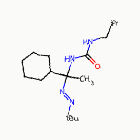 CC(C)CNC(=O)NC(C)(/N=N/C(C)(C)C)C1CCCCC1